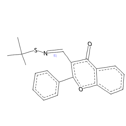 CC(C)(C)S/N=C/c1c(-c2ccccc2)oc2ccccc2c1=O